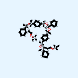 C[Si](C)(C)OCCC[Si](C)(O[Si](C)(C)c1ccc([Si](C)(C)O[Si](C)(O[Si](C)(C)c2ccc([Si](C)(C)O[Si](C)(CCCO[Si](C)(C)C)c3ccccc3)cc2)c2ccccc2)cc1)c1ccccc1